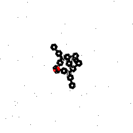 c1ccc(-c2ccc(N(c3ccc(-c4ccccc4)cc3)c3ccc(-c4cccc5c6cccc(-c7ccc(N(c8ccc(-c9ccccc9)cc8)c8ccc(-c9ccccc9)cc8)cc7)c6n(-c6ccccc6)c45)cc3)cc2)cc1